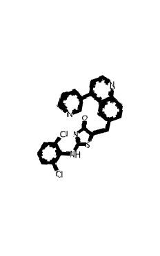 O=C1N=C(Nc2c(Cl)cccc2Cl)SC1=Cc1ccc2nccc(-c3cccnc3)c2c1